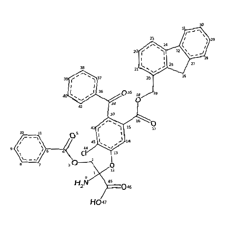 NC(COC(=O)c1ccccc1)(Oc1cc(C(=O)OCc2cccc3c2Cc2ccccc2-3)c(C(=O)c2ccccc2)cc1Cl)C(=O)O